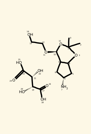 CC1(C)OC2C[C@H](N)CC2[C@@H](OCCO)O1.O=C(O)[C@H](O)[C@@H](O)C(=O)O